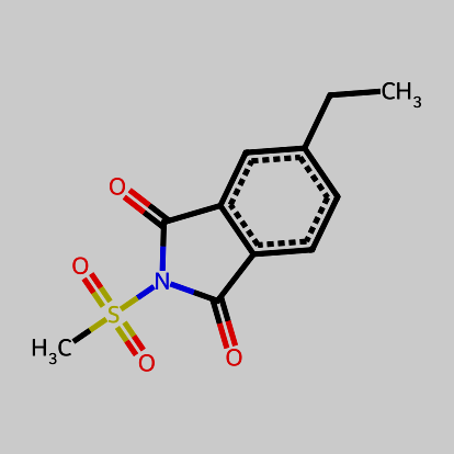 CCc1ccc2c(c1)C(=O)N(S(C)(=O)=O)C2=O